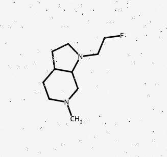 CN1CCC2CCN(CCF)C2C1